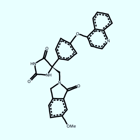 COc1ccc2c(c1)C(=O)N(C[C@@]1(c3ccc(Oc4ccnc5ccccc45)cc3)NC(=O)NC1=O)C2